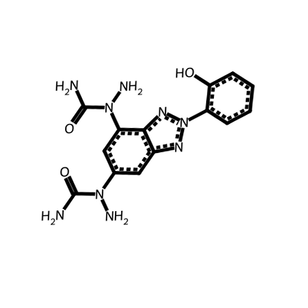 NC(=O)N(N)c1cc(N(N)C(N)=O)c2nn(-c3ccccc3O)nc2c1